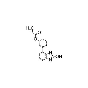 C=CC(=O)Oc1cccc(-c2cccc3nn(O)nc23)c1